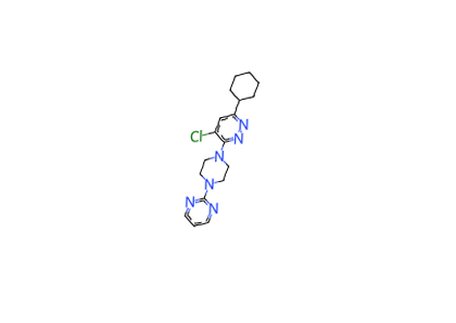 Clc1cc(C2CCCCC2)nnc1N1CCN(c2ncccn2)CC1